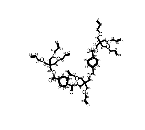 C=CCOCC(COCC=C)(COCC=C)COC(=O)c1ccc(COCC(COCC=C)(COCC=C)COC(=O)c2ccc(C(=O)OCC(COCC=C)(COCC=C)COCC=C)cc2)cc1